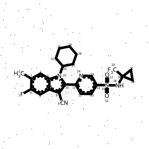 Cc1cc2c(cc1F)c(C#N)c(-c1ccc(S(=O)(=O)NC3(C(F)(F)F)CC3)cn1)n2C1CCCCC1